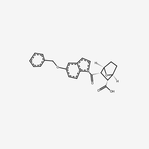 O=C(O)[C@@H]1[C@H](C(=O)n2ccc3cc(OCc4ccccc4)ccc32)[C@H]2CC[C@@H]1O2